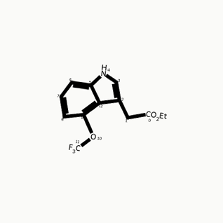 CCOC(=O)Cc1c[nH]c2cccc(OC(F)(F)F)c12